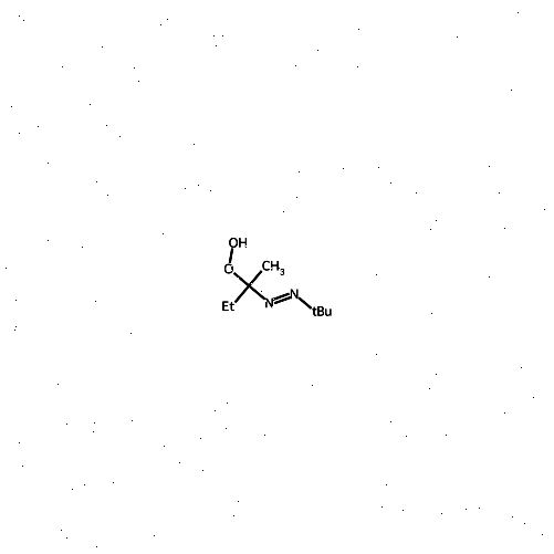 CCC(C)(N=NC(C)(C)C)OO